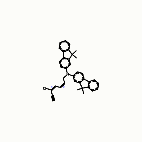 C#C/C(Cl)=C\C=C/CN(c1ccc2c(c1)C(C)(C)c1ccccc1-2)c1ccc2c(c1)C(C)(C)c1ccccc1-2